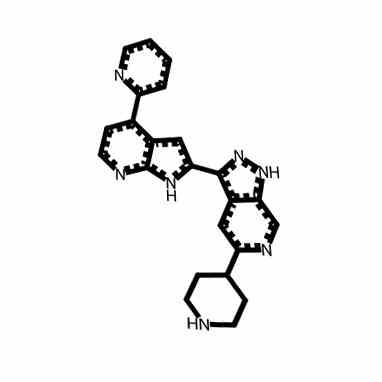 c1ccc(-c2ccnc3[nH]c(-c4n[nH]c5cnc(C6CCNCC6)cc45)cc23)nc1